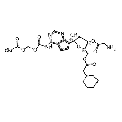 CC(C)(C)C(=O)OCOC(=O)Nc1ncnn2c([C@@]3(C)C[C@H](OC(=O)CN)[C@@H](COC(=O)CC4CCCCC4)O3)ccc12